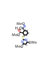 CO/N=C(\C)c1cccc(Sc2nc(OC)cc(OC)n2)c1C(=O)OC